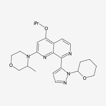 CC(C)Oc1cc(N2CCOCC2C)nc2c(-c3ccnn3C3CCCCO3)nccc12